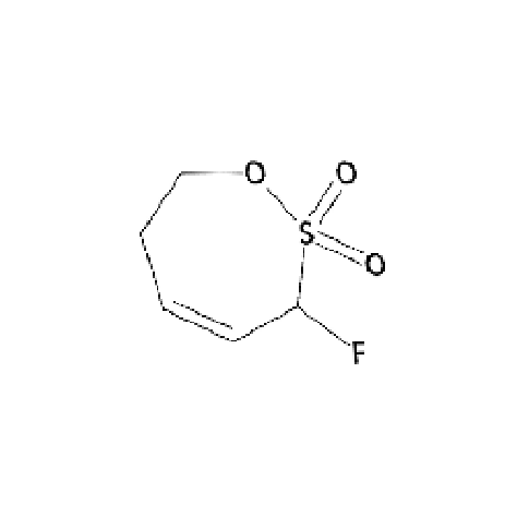 O=S1(=O)OCCC=CC1F